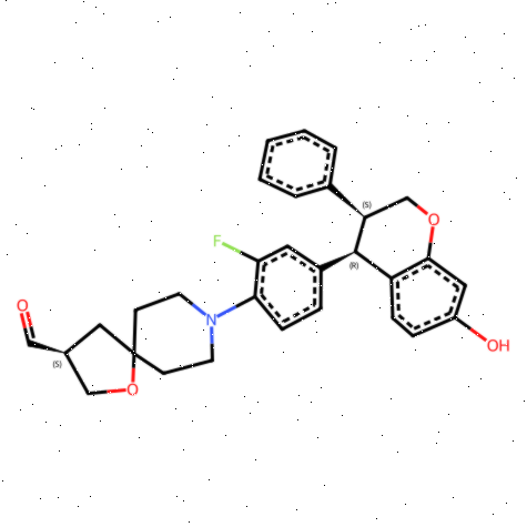 O=C[C@@H]1COC2(CCN(c3ccc([C@@H]4c5ccc(O)cc5OC[C@@H]4c4ccccc4)cc3F)CC2)C1